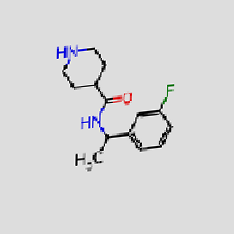 CC(NC(=O)C1CCNCC1)c1cccc(F)c1